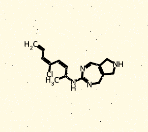 C=C/C=C(Cl)\C=C/C(C)NC1=NCC2=C(C=N1)CNC2